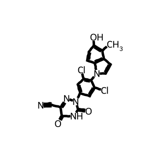 Cc1c(O)ccc2c1ccn2-c1c(Cl)cc(-n2nc(C#N)c(=O)[nH]c2=O)cc1Cl